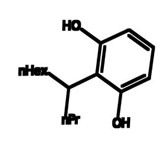 CCCCCCC(CCC)c1c(O)cccc1O